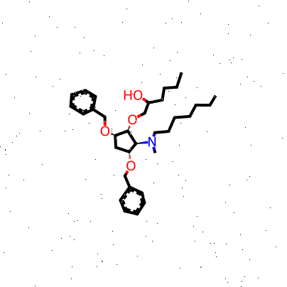 CCCCCCCN(C)[C@@H]1[C@@H](OCC(O)CCCC)[C@@H](OCc2ccccc2)C[C@H]1OCc1ccccc1